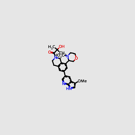 COc1c[nH]c2ncc(-c3cc4c(c(C5COCCN5C(=O)O)c3)CN(C(=O)C(C)(C)O)CC4)cc12